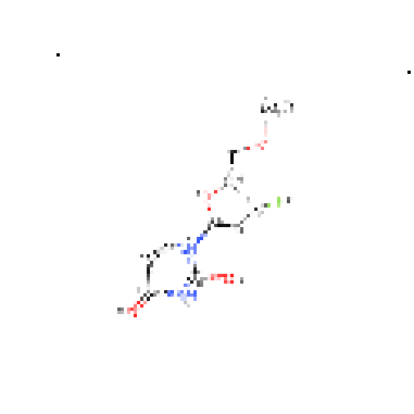 CCOC(=O)OC[C@@H]1O[C@H](n2ccc(=O)[nH]c2=O)CC1F